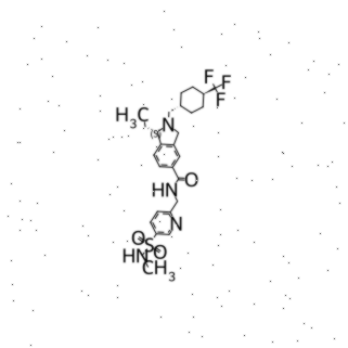 CC[C@H]1c2ccc(C(=O)NCc3ccc(S(=O)(=O)NC)cn3)cc2CN1C[C@H]1CC[C@H](C(F)(F)F)CC1